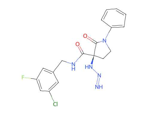 N=NN[C@]1(C(=O)NCc2cc(F)cc(Cl)c2)CCN(c2ccccc2)C1=O